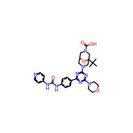 CC(C)(C)C12CN(C(=O)O)CC(CN(c3nc(-c4ccc(NC(=O)Nc5ccncc5)cc4)nc(N4CCOCC4)n3)C1)O2